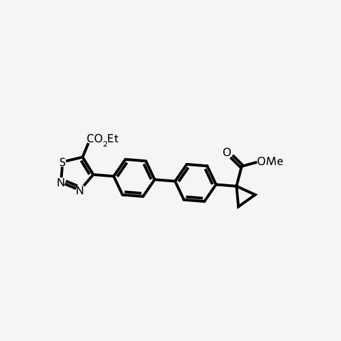 CCOC(=O)c1snnc1-c1ccc(-c2ccc(C3(C(=O)OC)CC3)cc2)cc1